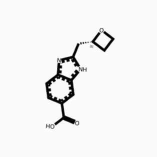 O=C(O)c1ccc2nc(C[C@H]3CCO3)[nH]c2c1